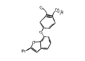 CC(C)c1cc2cccc(Oc3ccc(C(=O)O)c(Cl)c3)c2o1